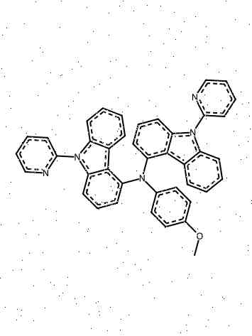 COc1ccc(N(c2cccc3c2c2ccccc2n3-c2ccccn2)c2cccc3c2c2ccccc2n3-c2ccccn2)cc1